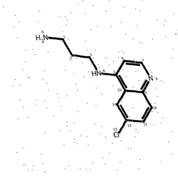 NCCCNc1[c]cnc2ccc(Cl)cc12